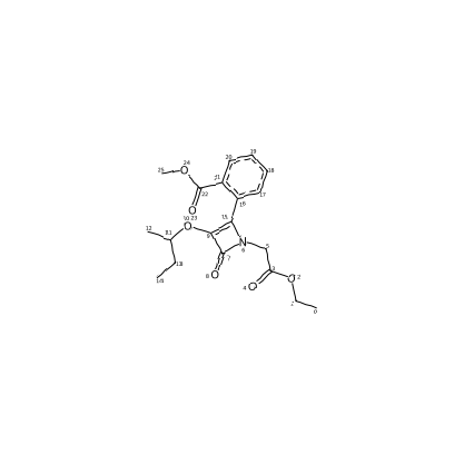 CCOC(=O)CN1C(=O)C(OC(C)CC)=C1c1ccccc1C(=O)OC